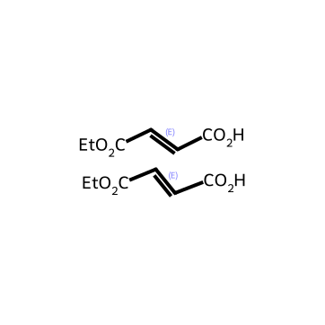 CCOC(=O)/C=C/C(=O)O.CCOC(=O)/C=C/C(=O)O